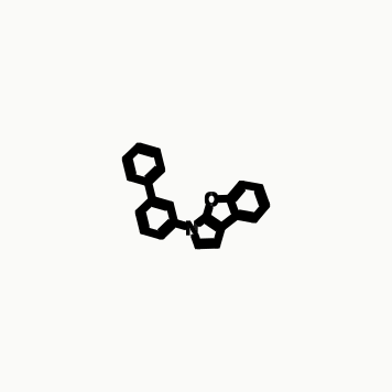 c1ccc(-c2cccc(-n3ccc4c5ccccc5oc43)c2)cc1